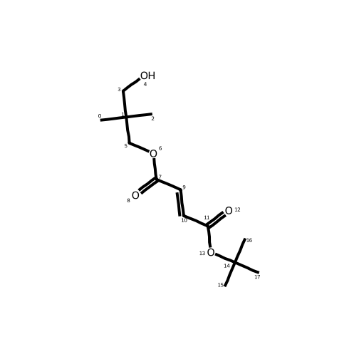 CC(C)(CO)COC(=O)/C=C/C(=O)OC(C)(C)C